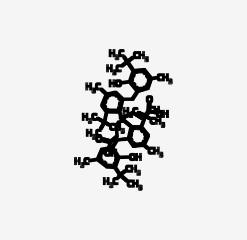 Cc1cc(Cc2cc(C)cc(C(C)(C)C)c2S(CCC(=O)O)(CCC(=O)O)c2c(Cc3cc(C)cc(C(C)(C)C)c3O)cc(C)cc2C(C)(C)C)c(O)c(C(C)(C)C)c1